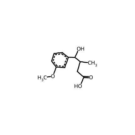 COc1cccc(C(O)C(C)CC(=O)O)c1